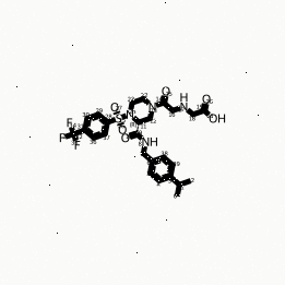 CC(C)c1ccc(CNC(=O)[C@H]2CN(C(=O)CNCC(=O)O)CCN2S(=O)(=O)c2ccc(C(F)(F)F)cc2)cc1